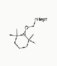 CCCCCCCCON1C(C)(C)CCCC1(C)C